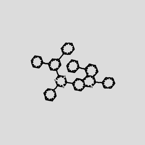 c1ccc(-c2cc(-c3ccccc3)cc(-c3nc(-c4ccccc4)nc(-c4ccc5nc(-c6ccccc6)c6cccc(-c7ccccc7)c6c5c4)n3)c2)cc1